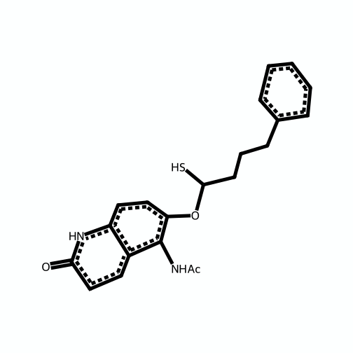 CC(=O)Nc1c(OC(S)CCCc2ccccc2)ccc2[nH]c(=O)ccc12